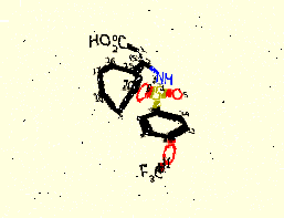 O=C(O)C[C@H](NS(=O)(=O)c1ccc(OC(F)(F)F)cc1)C1CCCCC1